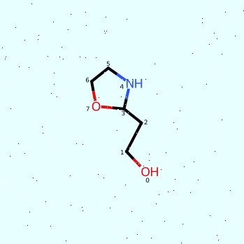 OCCC1NCCO1